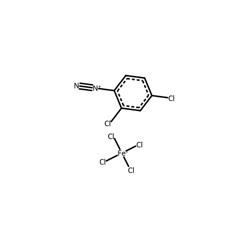 N#[N+]c1ccc(Cl)cc1Cl.[Cl][Fe-]([Cl])([Cl])[Cl]